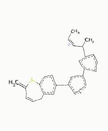 C=C1C=CCc2cc(-c3cccc(-c4cccc(C(C)/C=C\C)c4)c3)ccc2S1